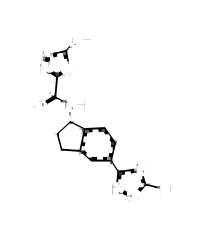 CCc1nc(-c2ccc3c(c2)CC[C@H]3NC(=O)c2nnc(C)o2)no1